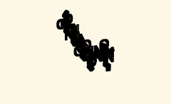 CCCc1nn(C)c2c(=O)[nH]c(-c3cc(S(=O)(=O)N4CCN(c5ncc(C(=O)OCC)cn5)CC4)ccc3OCC)nc12